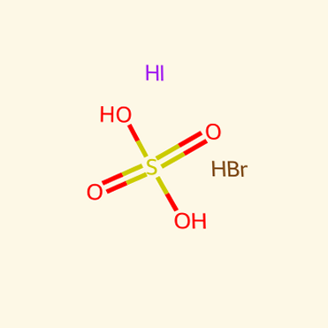 Br.I.O=S(=O)(O)O